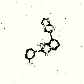 Oc1cccc(-c2nc3cccc(-c4cn5ccsc5n4)c3[nH]2)c1